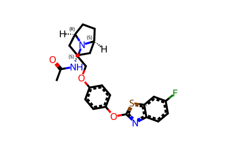 CC(=O)N[C@@H]1C[C@H]2CC[C@@H](C1)N2CCOc1ccc(Oc2nc3ccc(F)cc3s2)cc1